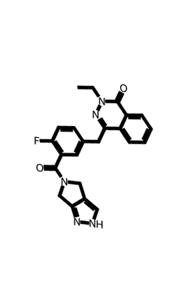 CCn1nc(Cc2ccc(F)c(C(=O)N3Cc4c[nH]nc4C3)c2)c2ccccc2c1=O